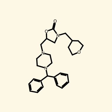 O=C1OC(CN2CCN(C(c3ccccc3)c3ccccc3)CC2)CN1CC1CCOCC1